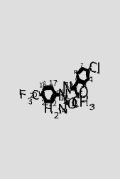 CC1Oc2cc(Cl)ccc2/C1=N/N(C(N)=O)c1ccc(C(F)(F)F)cc1